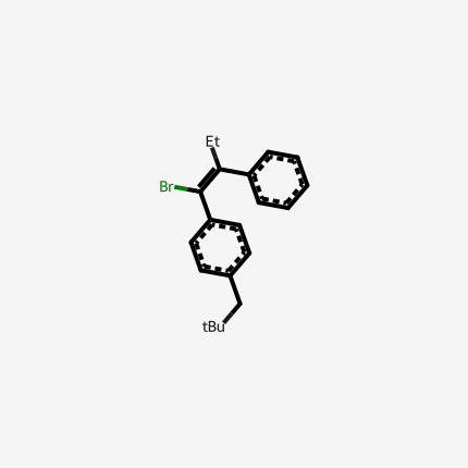 CCC(=C(Br)c1ccc(CC(C)(C)C)cc1)c1ccccc1